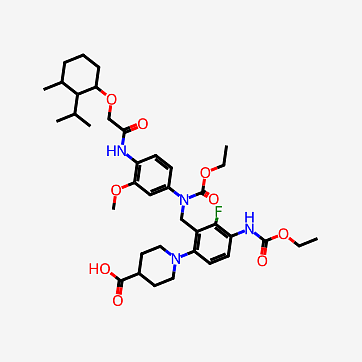 CCOC(=O)Nc1ccc(N2CCC(C(=O)O)CC2)c(CN(C(=O)OCC)c2ccc(NC(=O)COC3CCCC(C)C3C(C)C)c(OC)c2)c1F